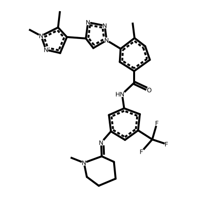 Cc1ccc(C(=O)Nc2cc(/N=C3\CCCCN3C)cc(C(F)(F)F)c2)cc1-n1cc(-c2cnn(C)c2C)nn1